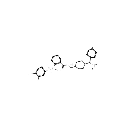 CN(C)C(c1ccc(Cl)cc1)C1CCC(CNC(=O)c2ccccc2N(C)S(=O)(=O)c2ccc(Cl)c(Cl)c2)CC1